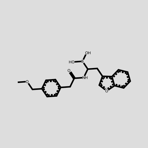 COCc1ccc(CC(=O)NC(Cc2coc3ccccc23)B(O)O)cc1